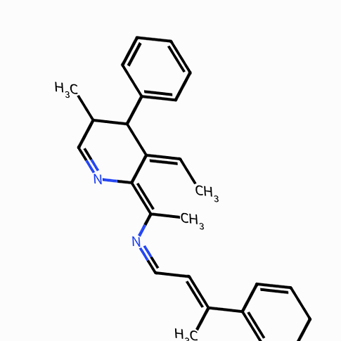 C\C=C1/C(=C(C)/N=C\C=C(/C)C2=CCCC=C2)N=CC(C)C1c1ccccc1